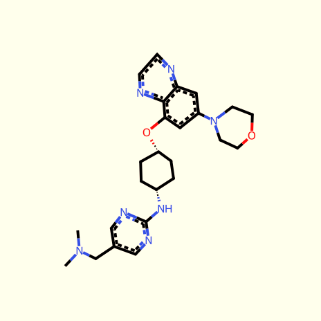 CN(C)Cc1cnc(N[C@H]2CC[C@@H](Oc3cc(N4CCOCC4)cc4nccnc34)CC2)nc1